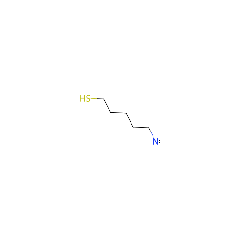 [N]CCCCCS